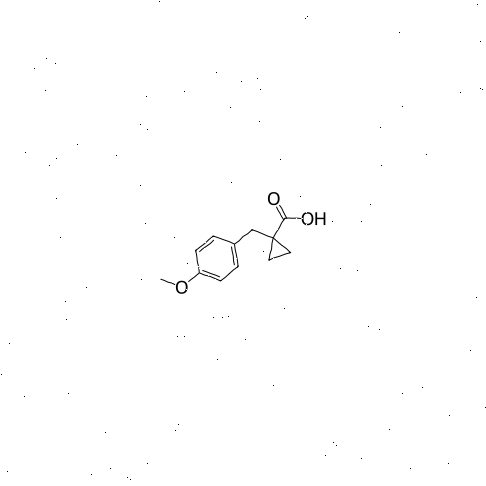 COc1ccc(CC2(C(=O)O)CC2)cc1